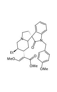 CC[C@H]1CN2CC[C@]3(C(=O)N(Cc4ccc(OC)cc4)c4ccccc43)C2C[C@@H]1/C(=C\OC)C(=O)OC